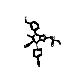 CCC(=O)Nc1nc2n(n1)[C@H](c1ccc(C#N)cc1)C(C#N)=C(C)N2c1cccc(CF)c1